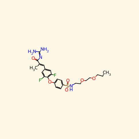 CCCOCCOCCNS(=O)(=O)c1ccc(Oc2c(F)cc(/C=C(\C)C(=O)N=C(N)N)cc2F)cc1